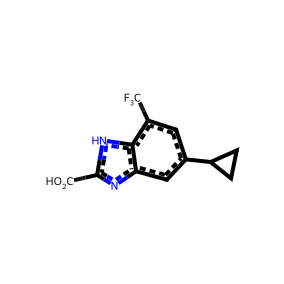 O=C(O)c1nc2cc(C3CC3)cc(C(F)(F)F)c2[nH]1